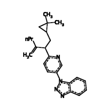 C=C(CCC)C(CC1CC1(C)C)c1ccc(-n2nnc3ccccc32)cn1